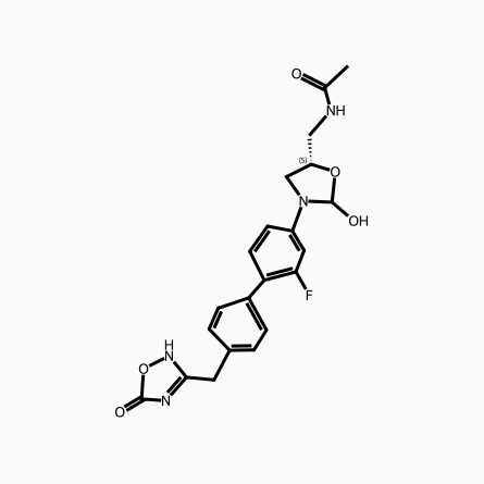 CC(=O)NC[C@H]1CN(c2ccc(-c3ccc(Cc4nc(=O)o[nH]4)cc3)c(F)c2)C(O)O1